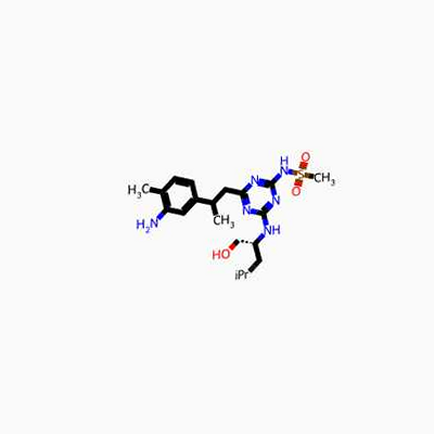 Cc1ccc(C(C)Cc2nc(N[C@@H](CO)CC(C)C)nc(NS(C)(=O)=O)n2)cc1N